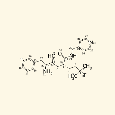 CC(C)(F)CC[C@H](C[C@H](O)[C@@H](N)Cc1ccccc1)C(=O)NCc1ccncc1